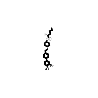 CCCC[C@H](F)C(=O)O[C@H]1CC[C@H](CCc2ccc(-c3ccc(OC)c(Br)c3)cc2)CC1